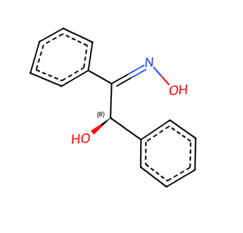 ON=C(c1ccccc1)[C@H](O)c1ccccc1